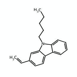 C=Cc1ccc2c3ccccc3n(CCCCC)c2c1